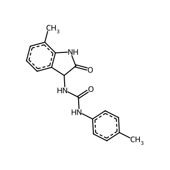 Cc1ccc(NC(=O)NC2C(=O)Nc3c(C)cccc32)cc1